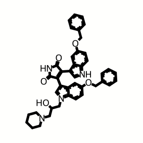 O=C1NC(=O)C(c2cn(CC(O)CN3CCCCC3)c3ccc(OCc4ccccc4)cc23)=C1c1c[nH]c2ccc(OCc3ccccc3)cc12